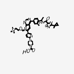 Cc1cc(-c2ncnc3c2cc(-c2ccc(N4CCN(C(=O)O)CC4)nc2)n3COCC[Si](C)(C)C)ccc1C(C)NC(=O)c1nc(C2(C)CC2)no1